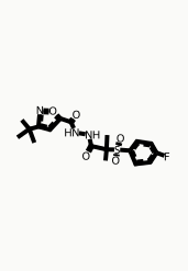 CC(C)(C)c1cc(C(=O)NNC(=O)C(C)(C)S(=O)(=O)c2ccc(F)cc2)on1